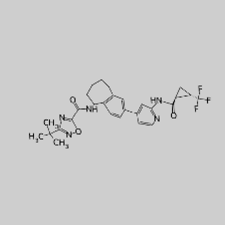 CC(C)(C)c1noc(C(=O)N[C@@H]2CCCCc3cc(-c4ccnc(NC(=O)[C@H]5C[C@@H]5C(F)(F)F)c4)ccc32)n1